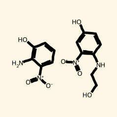 Nc1c(O)cccc1[N+](=O)[O-].O=[N+]([O-])c1cc(O)ccc1NCCO